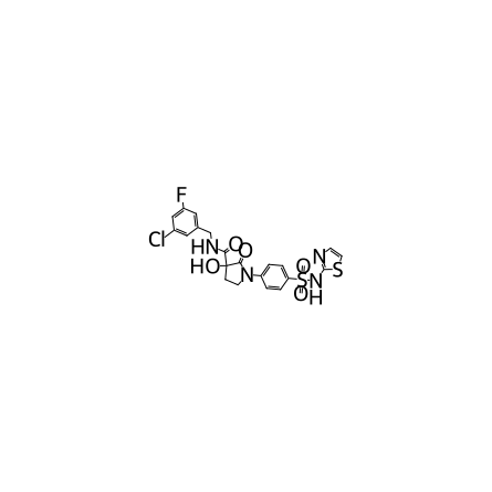 O=C(NCc1cc(F)cc(Cl)c1)C1(O)CCN(c2ccc(S(=O)(=O)Nc3nccs3)cc2)C1=O